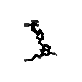 COP(=O)(O)Cc1cccc(Cn2ncc3c(N)nc(OCCO)nc32)c1